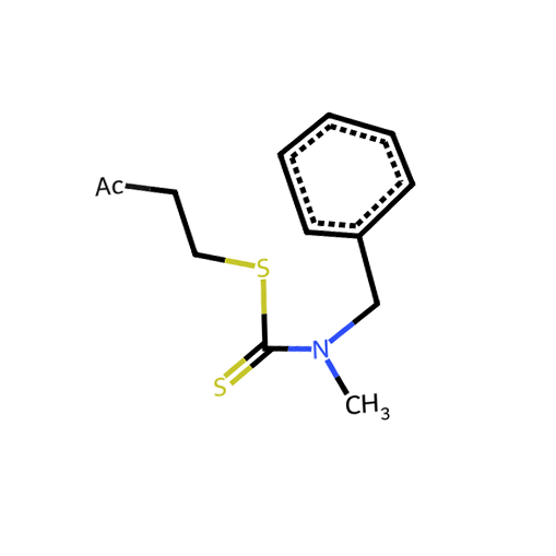 CC(=O)CCSC(=S)N(C)Cc1ccccc1